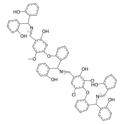 COc1cc(/C=N/C(c2ccccc2O)c2ccccc2O)c(O)cc1Oc1ccccc1C(/N=C/c1cc(Cl)c(Oc2ccccc2C(/N=C/c2ccccc2O)c2ccccc2O)c(Cl)c1O)c1ccccc1O